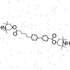 CC1(C)CC(OC(=O)CCCCc2ccc(-c3ccc(C(=O)OC4CC(C)(C)NC(C)(C)C4)cc3)cc2)CC(C)(C)N1